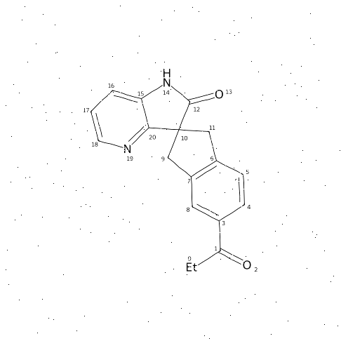 CCC(=O)c1ccc2c(c1)CC1(C2)C(=O)Nc2cccnc21